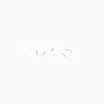 Cn1ccc(NC(=O)c2ccc([N+](=O)[O-])o2)n1